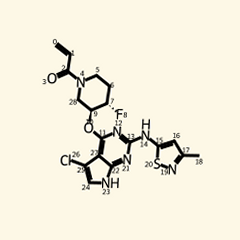 C=CC(=O)N1CC[C@H](F)[C@@H](Oc2nc(Nc3cc(C)ns3)nc3[nH]cc(Cl)c23)C1